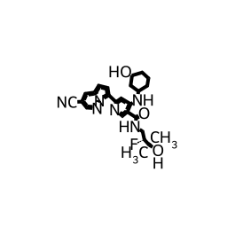 CC(C)(O)[C@H](F)CNC(=O)c1cnc(-c2ccc3cc(C#N)cnn23)cc1NC1CCCC(O)C1